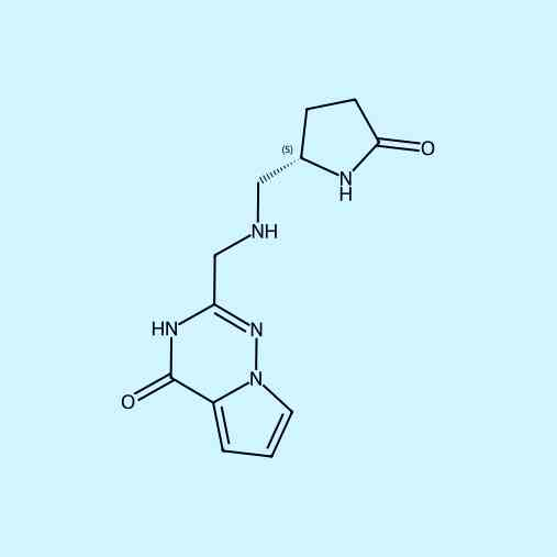 O=C1CC[C@@H](CNCc2nn3cccc3c(=O)[nH]2)N1